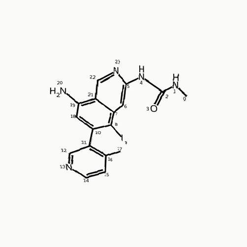 CNC(=O)Nc1cc2c(I)c(-c3cnccc3C)cc(N)c2cn1